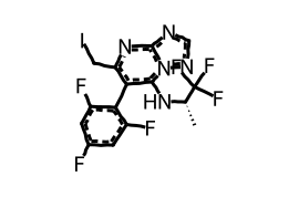 C[C@H](Nc1c(-c2c(F)cc(F)cc2F)c(CI)nc2ncnn12)C(F)(F)F